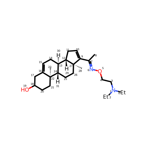 CCN(CC)CCON=C(C)C1=CC[C@H]2[C@@H]3CC=C4CC(O)CC[C@]4(C)[C@H]3CC[C@]12C